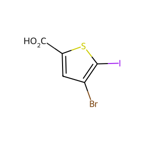 O=C(O)c1cc(Br)c(I)s1